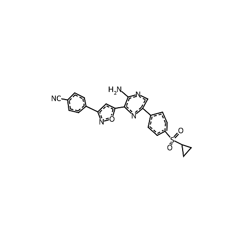 N#Cc1ccc(-c2cc(-c3nc(-c4ccc(S(=O)(=O)C5CC5)cc4)cnc3N)on2)cc1